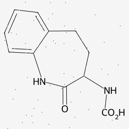 O=C(O)NC1CCc2ccccc2NC1=O